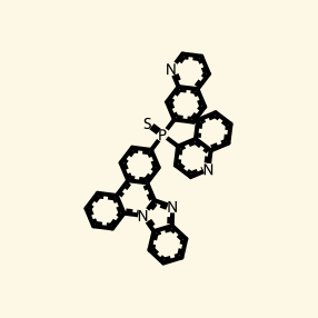 S=P(c1ccc2cccnc2c1)(c1ccc2c3ccccc3n3c4ccccc4nc3c2c1)c1ccnc2ccccc12